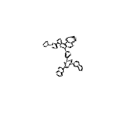 c1ccc(-c2cccc(-c3cccc4c3nc(-c3ccc(-c5nc(-c6ccc7ccccc7c6)cc(-c6ccc7ccccc7c6)n5)cc3)c3ccc5ccccc5c34)c2)cc1